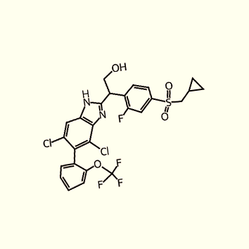 O=S(=O)(CC1CC1)c1ccc(C(CO)c2nc3c(Cl)c(-c4ccccc4OC(F)(F)F)c(Cl)cc3[nH]2)c(F)c1